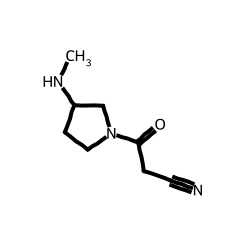 CNC1CCN(C(=O)CC#N)C1